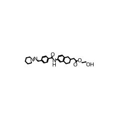 O=C(CC1CCc2cc(NC(=O)c3ccc(C=NN4CCCCC4)cc3)ccc2C1)OCCO